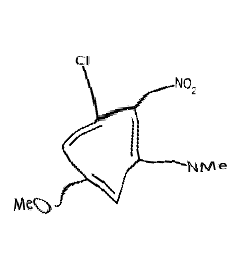 CNc1cc(OC)cc(Cl)c1[N+](=O)[O-]